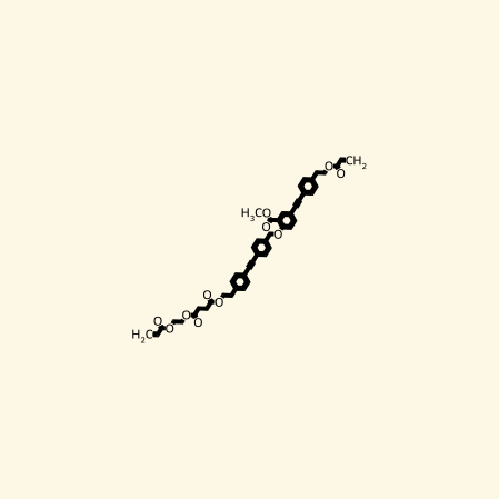 C=CC(=O)OCCOC(=O)CCC(=O)OCCc1ccc(C#Cc2ccc(COc3ccc(C#Cc4ccc(CCOC(=O)C=C)cc4)cc3C(=O)OC)cc2)cc1